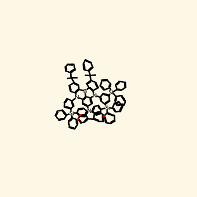 CC(C)(c1ccccc1)c1ccc2c(c1)B1c3cc(C(C)(C)c4ccccc4)ccc3N(c3cc([Si](c4ccccc4)(c4ccccc4)c4ccccc4)cc([Si](c4ccccc4)(c4ccccc4)c4ccccc4)c3)c3cc(-n4c5ccccc5c5ccccc54)cc(c31)N2c1cccc([Si](c2ccccc2)(c2ccccc2)c2ccccc2)c1